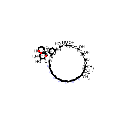 C[C@@H]1[C@H](O)[C@@H](C)/C=C/C=C/C=C/C=C/C=C/C=C/C=C/[C@H](O[C@@H]2O[C@H](C)[C@@H](O)[C@H](N)[C@@H]2O)C[C@@H]2O[C@](O)(C[C@@H](O)C[C@@H](O)[C@H](O)CC[C@@H](O)C[C@@H](O)CC(=O)O[C@H]1C)C[C@H](O)[C@H]2C(=O)N1CCCCC1